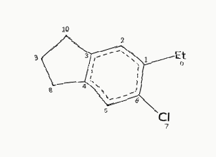 CCc1cc2c(cc1Cl)CCC2